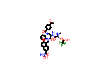 CN[C@@H](C)C(=O)N[C@H]1CN(C(=O)c2ccc(C(C)=O)cc2)c2ccccc2N(Cc2c(OC)ccc3cc(C(=O)NO)ccc23)C1=O.O=C(O)C(F)(F)F